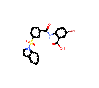 O=C(Nc1ccc(Br)cc1C(=O)O)c1cccc(S(=O)(=O)n2ccc3ccccc32)c1